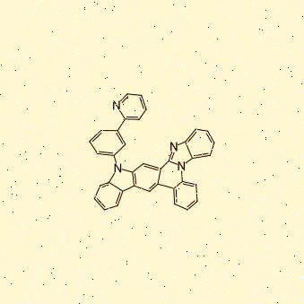 c1ccc(-c2cccc(-n3c4ccccc4c4cc5c6ccccc6n6c7ccccc7nc6c5cc43)c2)nc1